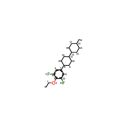 CCOc1c(F)cc(C2CCC(C3CCC(C)CC3)CC2)cc1F